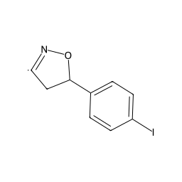 Ic1ccc(C2C[C]=NO2)cc1